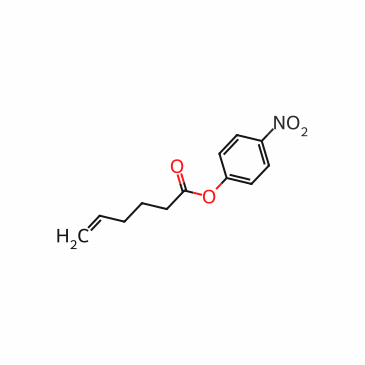 C=CCCCC(=O)Oc1ccc([N+](=O)[O-])cc1